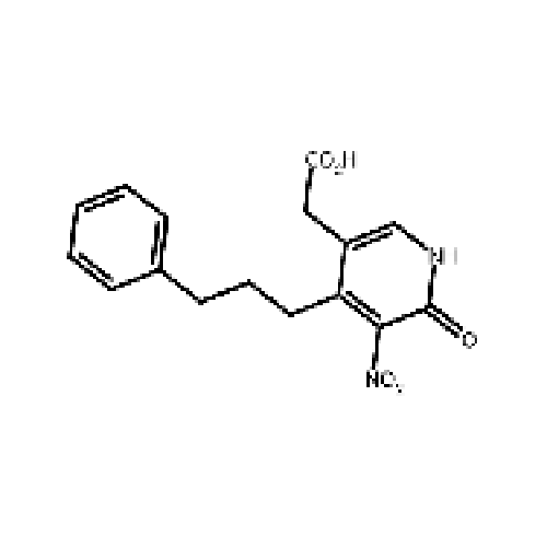 O=C(O)Cc1c[nH]c(=O)c([N+](=O)[O-])c1CCCc1ccccc1